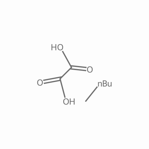 CCCCC.O=C(O)C(=O)O